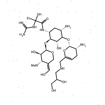 CCC(O)(NC(=N)N)C(=O)N[C@@H]1C[C@H](N)C(O[C@H]2OC(CNCC(O)CO)=CC[C@H]2N)[C@H](O)[C@H]1O[C@H]1OC/C(=C/O)[C@H](NC)[C@H]1O